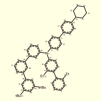 CCc1ccccc1-c1ccc(N(c2ccc(-c3ccc(C4CCCCC4)cc3)cc2)c2cccc(-c3cccc(-c4cc(C(C)(C)C)cc(C(C)(C)C)c4)c3)c2)cc1CC